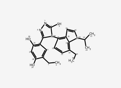 CCc1cc(-c2nnc(S)n2-c2ccc(CC)c3c2ccn3C(C)C)c(O)cc1O